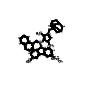 CC1=[C](/[Zr+2](=[CH]/c2cccc3ccccc23)[CH]2c3ccc(C(C)(C)C)cc3-c3cc(C(C)(C)C)ccc32)C(C)C=C1CC12CC3CC(CC(C3)C1)C2.[Cl-].[Cl-]